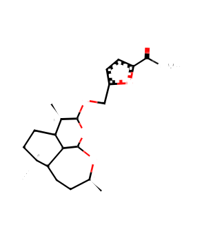 COC(=O)c1ccc(COC2OC3O[C@@H](C)CCC4C3C(CC[C@H]4C)[C@H]2C)o1